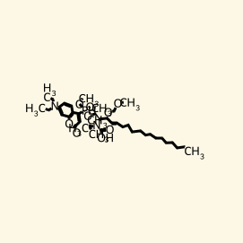 CCCCCCCCCCCCC/C=C/[C@@H](OCOC)[C@H](CO[PH](OC)(OC)c1cc(=O)oc2cc(N(CC)CC)ccc12)N(C(=O)O)C(C)(C)C